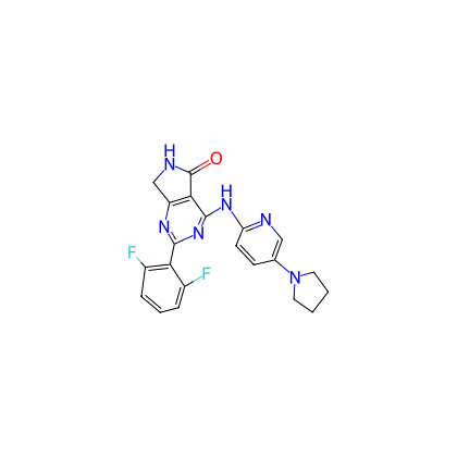 O=C1NCc2nc(-c3c(F)cccc3F)nc(Nc3ccc(N4CCCC4)cn3)c21